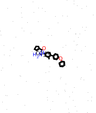 Cc1cc(N(N)C(=O)C2=C(C(=O)O)CCC2)ccc1-c1ccc(Oc2ccccc2)cc1